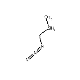 C[SiH2]CN=[N+]=[N-]